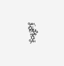 CC(=O)Nc1ccc(NC(=O)C(N=Nc2cc(C(N)=O)ccc2Cl)C(C)=O)cc1